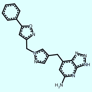 Nc1cc(Cc2cnn(Cc3cc(-c4ccccc4)on3)c2)c2nn[nH]c2n1